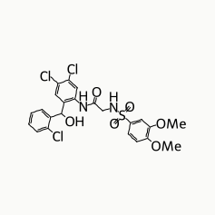 COc1ccc(S(=O)(=O)NCC(=O)Nc2cc(Cl)c(Cl)cc2C(O)c2ccccc2Cl)cc1OC